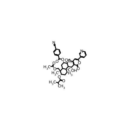 CC(=O)OC[C@@]1(C)C2C[C@H](OC(=O)c3ccc(C#N)cc3)[C@@]3(C)Oc4cc(-c5cccnc5)oc(=O)c4[C@H](O)C3[C@@]2(C)CC[C@@H]1OC(=O)C(C)C